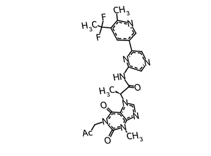 CC(=O)Cn1c(=O)c2c(ncn2[C@@H](C)C(=O)Nc2cncc(-c3cnc(C)c(C(C)(F)F)c3)n2)n(C)c1=O